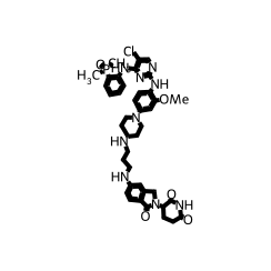 COc1cc(N2CCC(NCCCNc3ccc4c(c3)CN(C3CCC(=O)NC3=O)C4=O)CC2)ccc1Nc1ncc(Cl)c(Nc2ccccc2P(C)(C)=O)n1